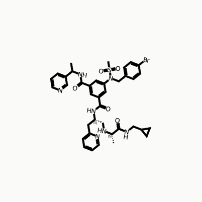 CC(NC(=O)c1cc(C(=O)N[C@H](CN[C@@H](C)C(=O)NCC2CC2)Cc2ccccn2)cc(N(Cc2ccc(Br)cc2)S(C)(=O)=O)c1)c1cccnc1